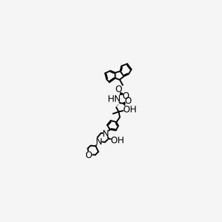 CC(C)(Cc1ccc(N2CCN(C3CCOCC3)CC2O)cc1)C[C@H](NC(=O)OCC1c2ccccc2-c2ccccc21)C(=O)O